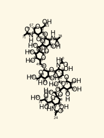 CC(=O)NC1C(O)[C@H](O[C@@H]2OC(CO[C@]3(C(=O)O)C[C@@H](O)[C@@H](NC(C)=O)C([C@H](O)[C@H](O)CO)O3)[C@H](O)C(O)[C@@H]2O)[C@H](CO)O[C@H]1OC1[C@@H](OCC2O[C@@H](O[C@@H]3C(CO)O[C@@H](O[C@@H]4C(CO)O[C@@H](C)[C@@H](NC(C)=O)C4O)[C@@H](NC(C)=O)C3O)C(O)C(O)[C@@H]2O)OC(CO)[C@@H](O)[C@@H]1O